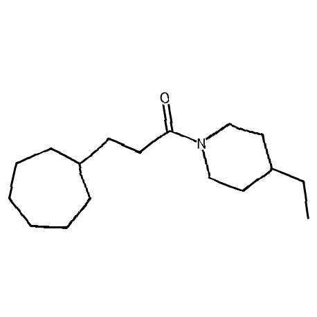 CCC1CCN(C(=O)CCC2CCCCCC2)CC1